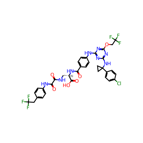 O=C(NC[C@H](NC(=O)c1ccc(Nc2nc(NC3(c4ccc(Cl)cc4)CC3)nc(OCC(F)(F)F)n2)cc1)C(=O)O)C(=O)Nc1ccc(CC(F)(F)F)cc1